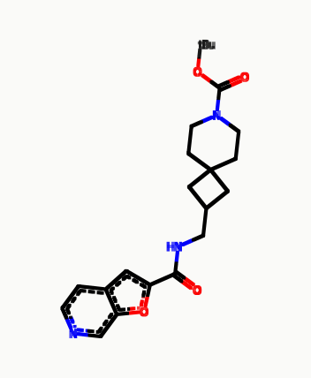 CC(C)(C)OC(=O)N1CCC2(CC1)CC(CNC(=O)c1cc3ccncc3o1)C2